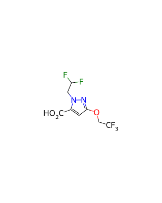 O=C(O)c1cc(OCC(F)(F)F)nn1CC(F)F